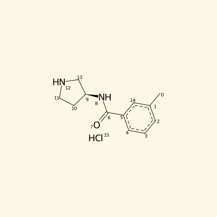 Cc1cccc(C(=O)N[C@H]2CCNC2)c1.Cl